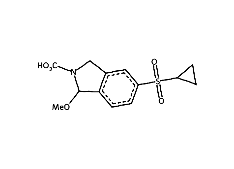 COC1c2ccc(S(=O)(=O)C3CC3)cc2CN1C(=O)O